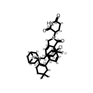 CC1(C)CCC(CN2C3CC2CN(Cc2cc(F)c4c(c2)CN(C2CCC(=O)NC2=O)C4=O)C3)=C(c2ccc(Cl)cc2)C1